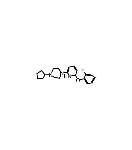 Fc1ccccc1OC1C=C[C]=C(N2CCN(C3CCCC3)CC2)N1